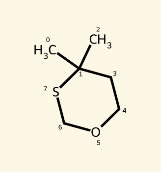 CC1(C)CCOCS1